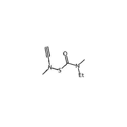 C#CN(C)SC(=O)N(C)CC